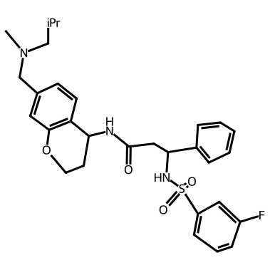 CC(C)CN(C)Cc1ccc2c(c1)OCCC2NC(=O)CC(NS(=O)(=O)c1cccc(F)c1)c1ccccc1